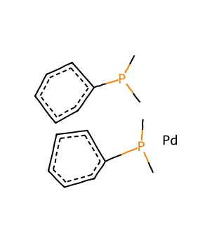 CP(C)c1ccccc1.CP(C)c1ccccc1.[Pd]